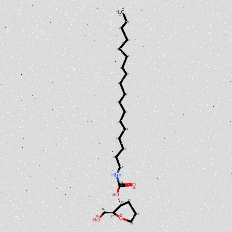 CCCCCCCCCCCCCCCCCCNC(=O)O[C@@H]1CCCO[C@H]1CO